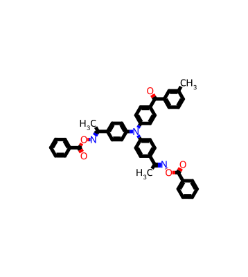 C/C(=N\OC(=O)c1ccccc1)c1ccc(N(c2ccc(C(=O)c3cccc(C)c3)cc2)c2ccc(/C(C)=N/OC(=O)c3ccccc3)cc2)cc1